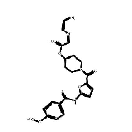 C=C(/C=N\C=C/N)OC1CCN(C(=O)c2ccc(NC(=O)c3ccc(OC)cc3)o2)CC1